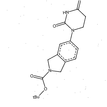 CC(C)(C)OC(=O)N1Cc2ccc(N3CCC(=O)NC3=O)cc2C1